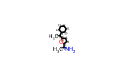 CC(N)C1CCC(C(C)C2CCCCC2)O1